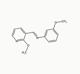 COc1cccc(N=Cc2cccnc2OC)c1